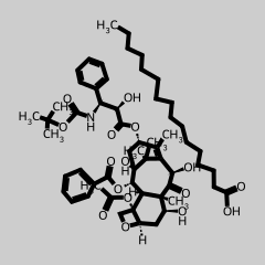 CC(=O)O[C@@]12CO[C@@H]1C[C@H](O)[C@@]1(C)C(=O)[C@H](O)C3=C(C)[C@@H](OC(=O)[C@H](O)[C@@H](NC(=O)OC(C)(C)C)c4ccccc4)C[C@@](O)([C@@H](OC(=O)c4ccccc4)[C@H]21)C3(C)C.CCCCCCCCCCCCCCCC(=O)O